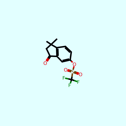 CC1(C)CC(=O)c2cc(OS(=O)(=O)C(F)(F)F)ccc21